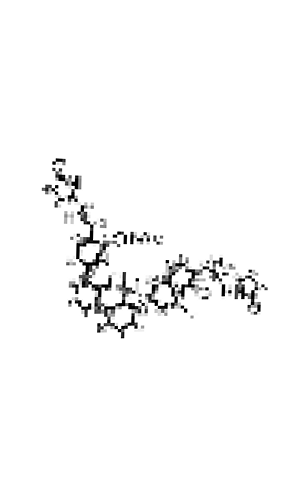 COc1nc(-c2cccc(-c3cccc(-c4cc(C)n5c(=O)c(CNC[C@@H]6CCC(=O)N6)cnc5c4)c3Cl)c2Cl)ccc1CNC[C@@H]1CCC(=O)N1